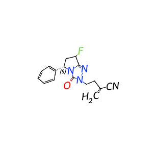 C=C(C#N)CCn1nc2n(c1=O)[C@H](c1ccccc1)CC2F